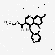 CCOC(=O)c1cnc2cc(F)cc3c2c1Nc1cnccc1O3